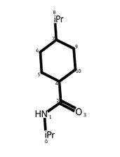 CC(C)NC(=O)C1CCC(C(C)C)CC1